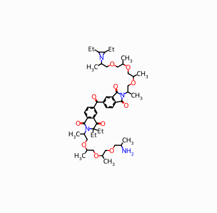 CCC1C(CC)N1C(C)COCC(C)OCC(C)OCC(C)N1C(=O)c2ccc(C(=O)c3ccc4c(c3)C(=O)C(CC)(CC)N(C(C)COC(C)COC(C)COCC(C)N)C4=O)cc2C1=O